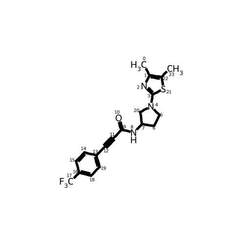 Cc1nc(N2CCC(NC(=O)C#Cc3ccc(C(F)(F)F)cc3)C2)sc1C